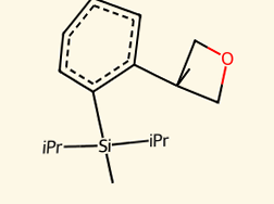 CC(C)[Si](C)(c1ccccc1C1(C)COC1)C(C)C